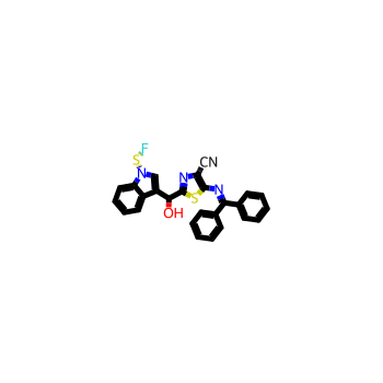 N#Cc1nc(C(O)c2cn(SF)c3ccccc23)sc1N=C(c1ccccc1)c1ccccc1